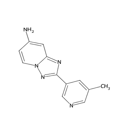 Cc1cncc(-c2nc3cc(N)ccn3n2)c1